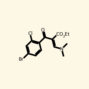 CCOC(=O)C(=CN(C)C)C(=O)c1ccc(Br)cc1Cl